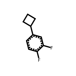 Fc1ccc(C2CCC2)cc1F